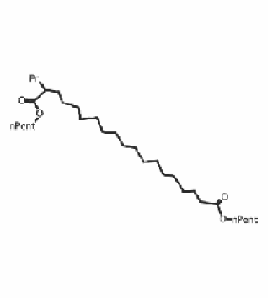 CCCCCOC(=O)CCCCCCCCCCCCCCCCC(C(=O)OCCCCC)C(C)C